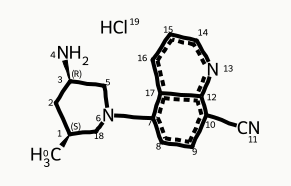 C[C@H]1C[C@@H](N)CN(c2ccc(C#N)c3ncccc23)C1.Cl